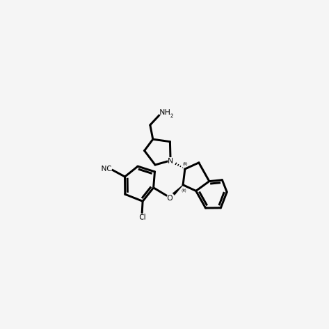 N#Cc1ccc(O[C@@H]2c3ccccc3C[C@H]2N2CCC(CN)C2)c(Cl)c1